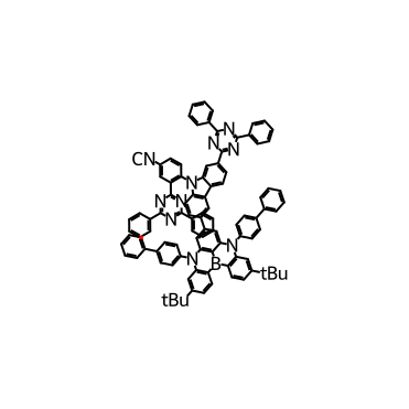 [C-]#[N+]c1ccc(-n2c3ccc(-c4cc5c6c(c4)N(c4ccc(-c7ccccc7)cc4)c4cc(C(C)(C)C)ccc4B6c4ccc(C(C)(C)C)cc4N5c4ccc(-c5ccccc5)cc4)cc3c3ccc(-c4nc(-c5ccccc5)nc(-c5ccccc5)n4)cc32)c(-c2nc(-c3ccccc3)nc(-c3ccccc3)n2)c1